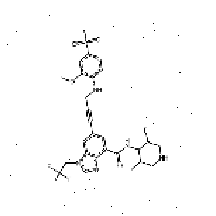 COc1cc(S(C)(=O)=O)ccc1NCC#Cc1cc(C(=O)NC2C(C)CNCC2F)c2ncn(CC(F)(F)F)c2c1